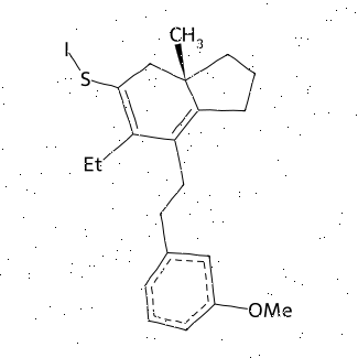 CCC1=C(SI)C[C@]2(C)CCCC2=C1CCc1cccc(OC)c1